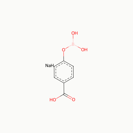 O=C(O)c1ccc(OB(O)O)cc1.[NaH]